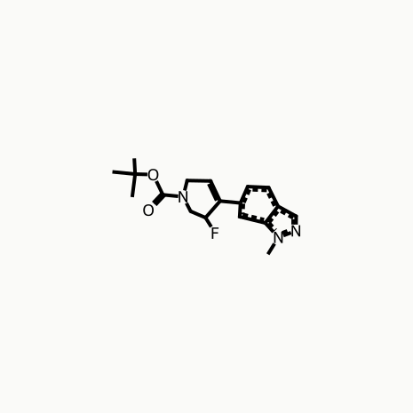 Cn1ncc2ccc(C3=CCN(C(=O)OC(C)(C)C)CC3F)cc21